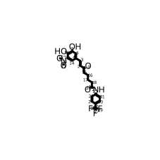 O=C(C=Cc1cc(O)c(O)c([N+](=O)[O-])c1)CCCCC(=O)Nc1ccc(C(F)(F)F)cc1